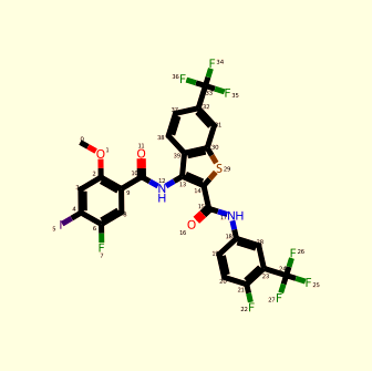 COc1cc(I)c(F)cc1C(=O)Nc1c(C(=O)Nc2ccc(F)c(C(F)(F)F)c2)sc2cc(C(F)(F)F)ccc12